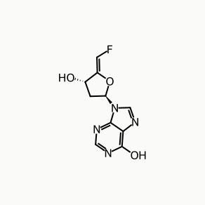 Oc1ncnc2c1ncn2[C@H]1C[C@H](O)C(=CF)O1